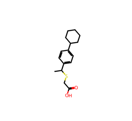 CC(SCC(=O)O)c1ccc(C2CCCCC2)cc1